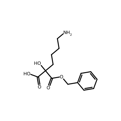 NCCCCC(O)(C(=O)O)C(=O)OCc1ccccc1